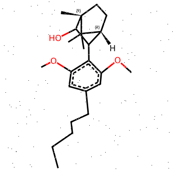 CCCCCc1cc(OC)c(C2C(O)[C@]3(C)CC[C@H]2C3(C)C)c(OC)c1